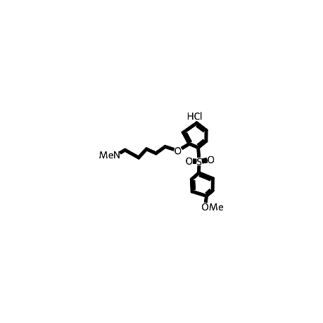 CNCCCCCOc1ccccc1S(=O)(=O)c1ccc(OC)cc1.Cl